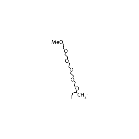 [CH2]C(CI)OCCOCCOCCOCCOCCOC